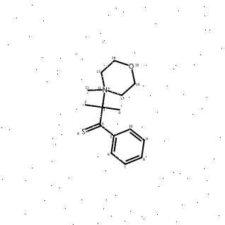 CC(C)(C(=S)c1ccccc1)[N+]1(C)CCOCC1